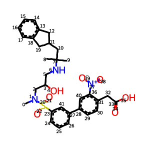 CN(CC(O)CNC(C)(C)CC1Cc2ccccc2C1)S(=O)(=O)c1cccc(-c2ccc(CC(=O)O)c([N+](=O)[O-])c2)c1